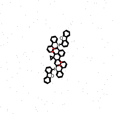 c1ccc(-c2ccccc2N(c2ccc3c(c2)C2(CC2)c2ccc(N(c4ccccc4-c4ccccc4)c4cccc5c4oc4ccccc45)c4cccc-3c24)c2cccc3c2oc2ccccc23)cc1